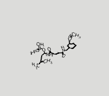 COc1cccc(CNC(=O)/C=C/C(=O)N[C@@H](CC(C)C)OB(O)O)c1